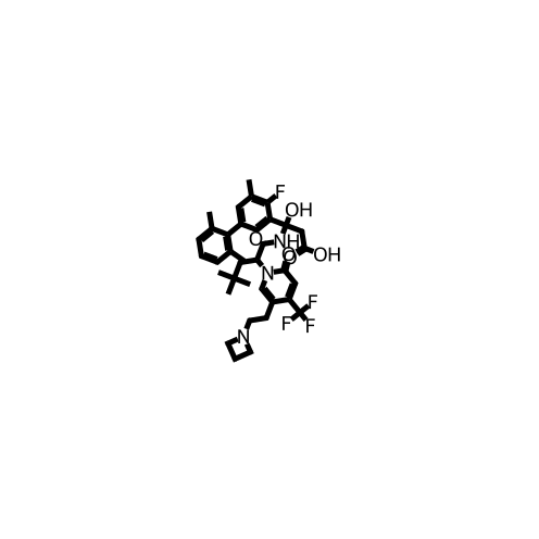 Cc1cc(-c2c(C)cccc2C)cc(C(O)(CC(=O)O)NC(=O)C(CC(C)(C)C)n2cc(CCN3CCC3)c(C(F)(F)F)cc2=O)c1F